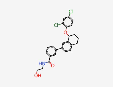 O=C(NCCO)c1cccc(-c2ccc3c(c2)C(Oc2ccc(Cl)cc2Cl)CCC3)c1